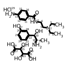 CCN(CC)CCNC(=O)c1ccc(N)cc1.C[C@H](N)[C@H](O)c1cccc(O)c1.Cl.O=C(O)C(O)C(O)C(=O)O